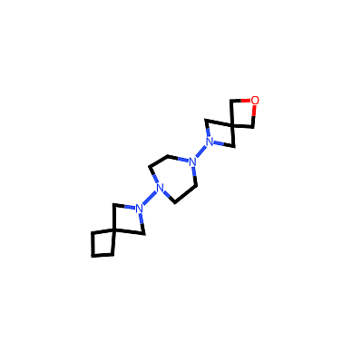 C1CC2(C1)CN(N1CCN(N3CC4(COC4)C3)CC1)C2